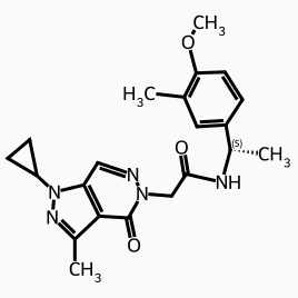 COc1ccc([C@H](C)NC(=O)Cn2ncc3c(c(C)nn3C3CC3)c2=O)cc1C